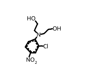 O=[N+]([O-])c1ccc(N(CCO)CCO)c(Cl)c1